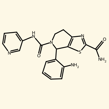 NC(=O)c1nc2c(s1)C(c1ccccc1N)N(C(=O)Nc1cccnc1)CC2